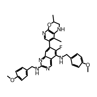 COc1ccc(CNc2ncc3c(NCc4ccc(OC)cc4)c(F)c(-c4cnc5c(c4C)NCC(C)O5)cc3n2)cc1